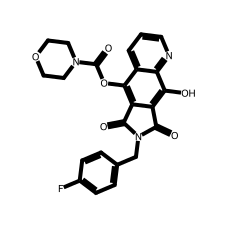 O=C(Oc1c2c(c(O)c3ncccc13)C(=O)N(Cc1ccc(F)cc1)C2=O)N1CCOCC1